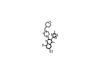 CCc1cc(F)c2nc(N3CCN(CC4CCOCC4)[C@@H](C)C3)c(-c3nc(C)no3)c(C)c2c1